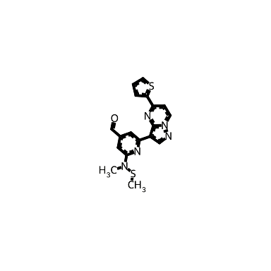 CSN(C)c1cc(C=O)cc(-c2cnn3ccc(-c4cccs4)nc23)n1